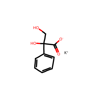 O=C([O-])C(O)(CO)c1ccccc1.[K+]